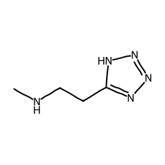 CNCCc1nnn[nH]1